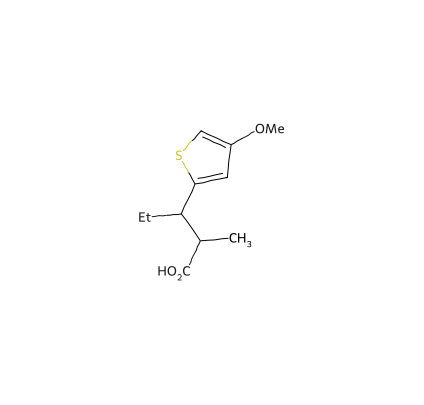 CCC(c1cc(OC)cs1)C(C)C(=O)O